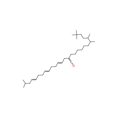 CC(C)C/C=C/CC/C=C/CC/C=C/CC(=C=O)CCCCCCC(C)C(C)CCC(C)(C)C